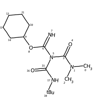 CN(C)C(=O)N(C(=N)OC1CCCCC1)C(=O)NC(C)(C)C